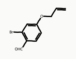 C=CCOc1ccc(C=O)c(Br)c1